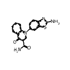 NC(=O)c1cn(-c2ccc3nc(N)sc3c2)c2ccccc2c1=O